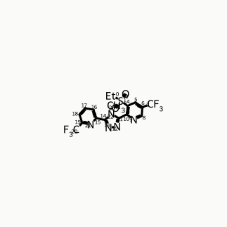 CCS(=O)(=O)c1cc(C(F)(F)F)cnc1-c1nnc(-c2cccc(C(F)(F)F)n2)n1C